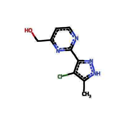 Cc1[nH]nc(-c2nccc(CO)n2)c1Cl